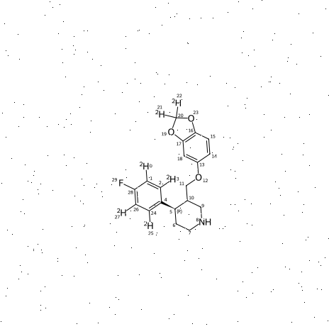 [2H]c1c([2H])c([C@@H]2CCNCC2COc2ccc3c(c2)OC([2H])([2H])O3)c([2H])c([2H])c1F